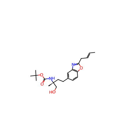 CC=CCc1nc2cc(CC[C@](C)(CO)NC(=O)OC(C)(C)C)ccc2o1